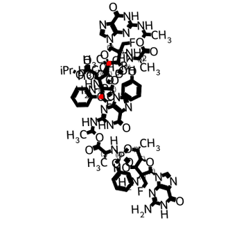 CC(C)OC(=O)[C@H](C)NP(=O)(Oc1ccccc1)O[C@H](C)[C@H]1O[C@@H](n2cnc3c(=O)[nH]c(NC(C)OC(=O)[C@H](C)N[P@@](=O)(Oc4ccccc4)O[C@H](C)[C@H]4O[C@@H](n5cnc6c(=O)[nH]c(NC(C)OC(=O)[C@H](C)N[P@](=O)(Oc7ccccc7)O[C@H](C)[C@H]7O[C@@H](n8cnc9c(=O)[nH]c(N)nc98)[C@@](N)(CF)C7O)nc65)[C@@](N)(CF)C4O)nc32)[C@@](N)(CF)C1O